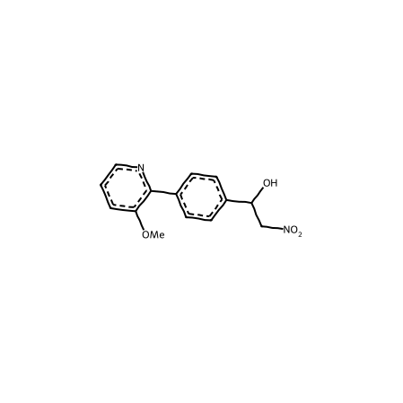 COc1cccnc1-c1ccc(C(O)C[N+](=O)[O-])cc1